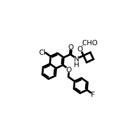 O=COC1(NC(=O)c2cc(Cl)c3ccccc3c2OCc2ccc(F)cc2)CCC1